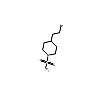 O=S(=O)(N1CCC(CCBr)CC1)C(F)(F)F